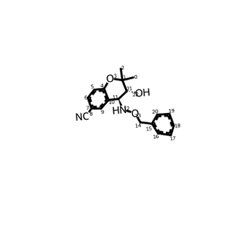 CC1(C)Oc2ccc(C#N)cc2[C@H](NOCc2ccccc2)[C@H]1O